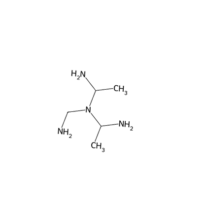 CC(N)N(CN)C(C)N